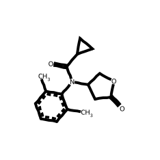 Cc1cccc(C)c1N(C(=O)C1CC1)C1COC(=O)C1